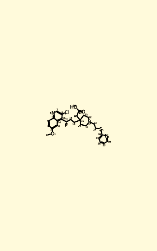 COc1ccc2ncc(Cl)c([C@@H](F)CCC3(CC(=O)O)CCN(CCSc4ccccn4)CC3)c2c1